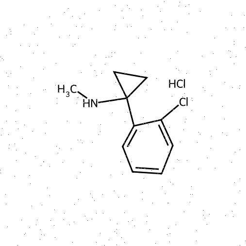 CNC1(c2ccccc2Cl)CC1.Cl